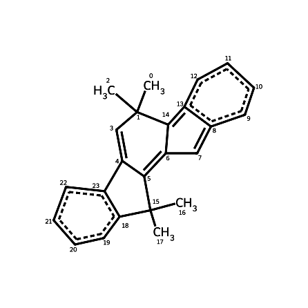 CC1(C)C=C2C(=C3C=c4ccccc4=C31)C(C)(C)c1ccccc12